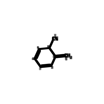 C=C1C=CC=CC1C#N